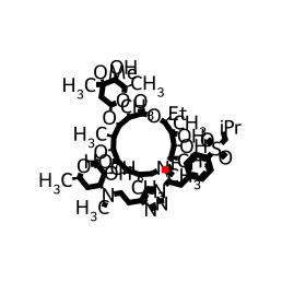 CC[C@H]1OC(=O)[C@H](C)[C@@H](O[C@H]2C[C@@](C)(OC)[C@@H](O)[C@H](C)O2)[C@H](C)[C@@H](O[C@@H]2O[C@H](C)C[C@H](N(C)CCc3cn([C@H](CF)Cc4ccc(S(=O)(=O)CC(C)C)cc4)nn3)[C@H]2O)[C@](C)(O)C[C@@H](C)CN(C)[C@H](C)[C@@H](O)[C@]1(C)O